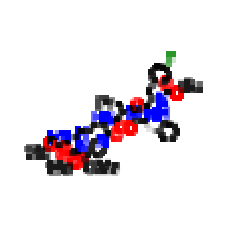 COC(=O)C1(NC(=O)OC(C)(C)C)CCN(C(=O)[C@@H](CCCCNC(=O)OC(C)(C)C)NC(=O)[C@@H](CC(C)C)NC(=O)[C@@H](Cc2ccccc2)NC(=O)[C@@H](Cc2ccc(F)cc2)NC(=O)OC(C)(C)C)C1